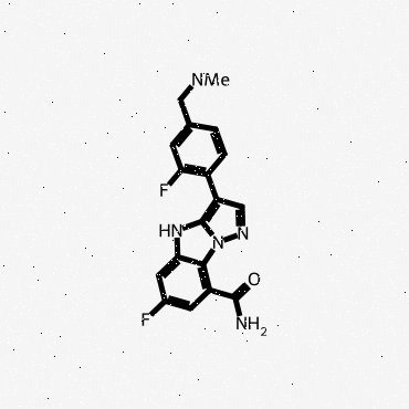 CNCc1ccc(-c2cnn3c2[nH]c2cc(F)cc(C(N)=O)c23)c(F)c1